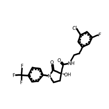 O=C(NCCc1cc(F)cc(Cl)c1)[C@@]1(O)CCN(c2ccc(C(F)(F)F)cc2)C1=O